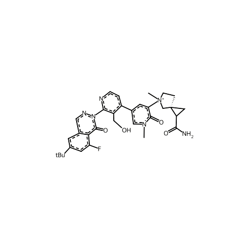 Cn1cc(-c2ccnc(-n3ncc4cc(C(C)(C)C)cc(F)c4c3=O)c2CO)cc([N+]2(C)CC[C@@]3(CC3C(N)=O)C2)c1=O